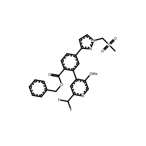 COc1cnc(C(F)F)cc1-c1cc(-c2ccn(CS(C)(=O)=O)n2)ccc1C(=O)OCc1ccccc1